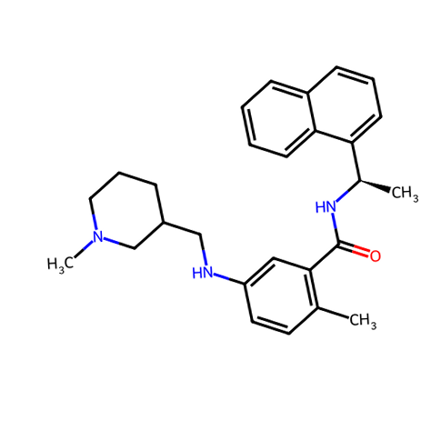 Cc1ccc(NCC2CCCN(C)C2)cc1C(=O)N[C@H](C)c1cccc2ccccc12